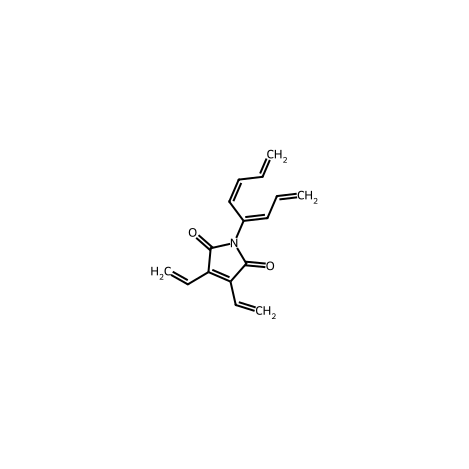 C=C/C=C\C(=C/C=C)N1C(=O)C(C=C)=C(C=C)C1=O